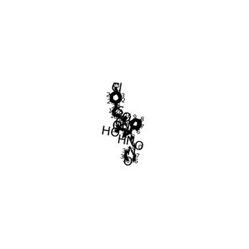 O=C(NC[C@@]1(c2ccccc2)C[C@]1(NS(=O)(=O)c1ccc(-c2ccc(Cl)cc2)s1)C(=O)O)N1CCOCC1